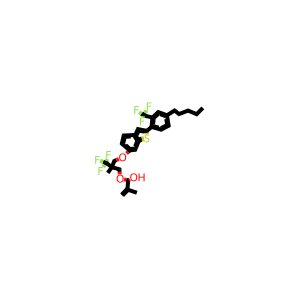 C=C(C)C(O)OCC(C)(COc1ccc2cc(-c3ccc(CCCCC)cc3C(F)(F)F)sc2c1)C(F)(F)F